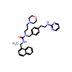 C[C@H](NC(=O)N(CCCN1CCOCC1)Cc1ccc(CCNc2ncccn2)cc1)c1cccc2ccccc12